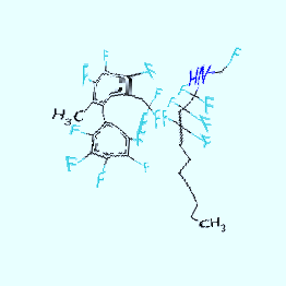 CCCCCCC(F)(F)C(F)(F)C(F)(F)NCF.Cc1c(F)c(F)c(F)c(C(F)(F)F)c1-c1c(F)c(F)c(F)c(F)c1F